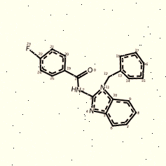 O=C(Nc1nc2ccccc2n1Cc1ccccc1)c1ccc(F)cc1